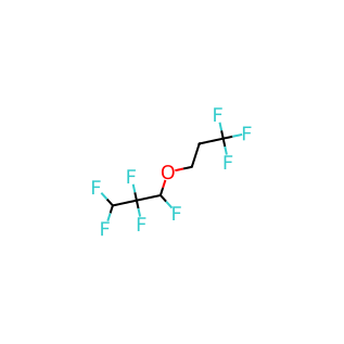 FC(F)C(F)(F)C(F)OCCC(F)(F)F